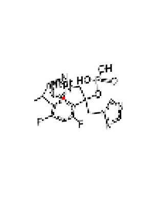 CCCCCCCC(C)c1cc(C(Cn2cncn2)(Cn2cncn2)OP(=O)(O)O)c(F)cc1F